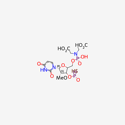 CO[C@H]1C(O[PH](=O)S)C(COP(=O)(O)N(CC(=O)O)CC(=O)O)O[C@H]1n1ccc(=O)[nH]c1=O